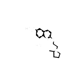 CC1CCCN1CCOc1ccc2cc(C(=O)O)ccc2n1.Cl